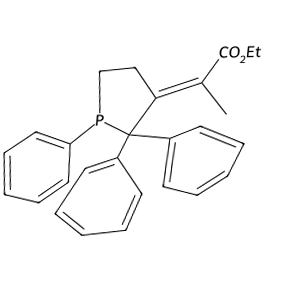 CCOC(=O)C(C)=C1CCP(c2ccccc2)C1(c1ccccc1)c1ccccc1